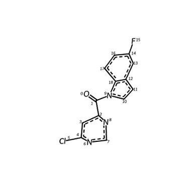 O=C(c1cc(Cl)ncn1)n1ccc2cc(F)ccc21